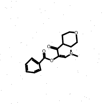 CN(C)/C=C(/OC(=O)c1ccccc1)C(=O)C1CCOCC1